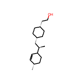 C[C@@H]1C=CC([C@H](C)C[C@H]2CC[C@@H](CCO)CC2)CC1